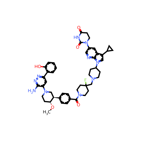 CO[C@@H]1CCN(c2cc(-c3ccccc3O)nnc2N)C[C@H]1c1ccc(C(=O)N2CCC(F)(CN3CCC(n4cc(C5CC5)c5cc(N6CCC(=O)NC6=O)cnc54)CC3)CC2)cc1